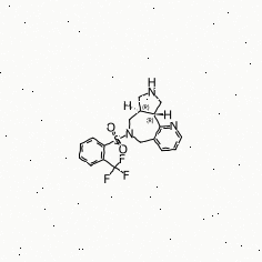 O=S(=O)(c1ccccc1C(F)(F)F)N1Cc2cccnc2[C@H]2CNC[C@@H]2C1